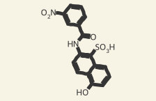 O=C(Nc1ccc2c(O)cccc2c1S(=O)(=O)O)c1cccc([N+](=O)[O-])c1